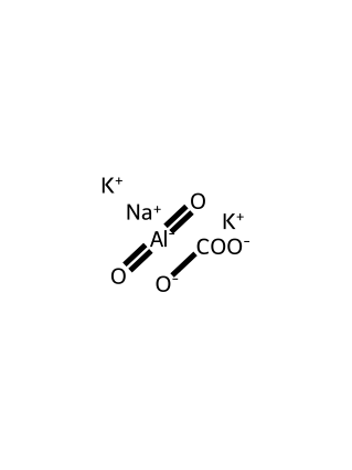 O=C([O-])[O-].[K+].[K+].[Na+].[O]=[Al-]=[O]